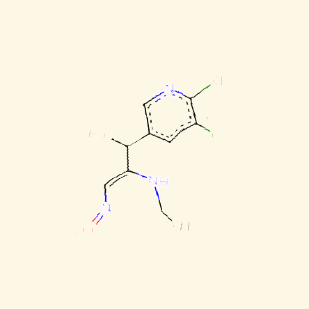 CCN/C(=C\N=O)C(C)c1cnc(Cl)c(Cl)c1